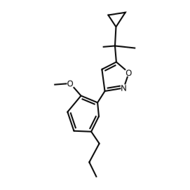 CCCc1ccc(OC)c(-c2cc(C(C)(C)C3CC3)on2)c1